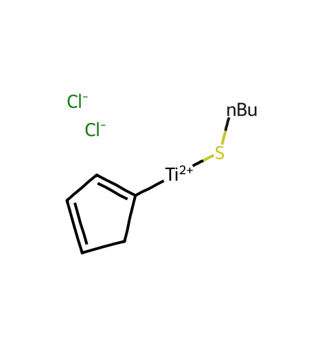 CCCC[S][Ti+2][C]1=CC=CC1.[Cl-].[Cl-]